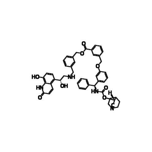 O=C(N[C@@H](c1ccccc1)c1cccc(OCc2cccc(C(=O)OCc3cccc(CNC[C@H](O)c4ccc(O)c5[nH]c(=O)ccc45)c3)c2)c1)O[C@H]1CN2CCC1CC2